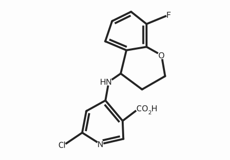 O=C(O)c1cnc(Cl)cc1NC1CCOc2c(F)cccc21